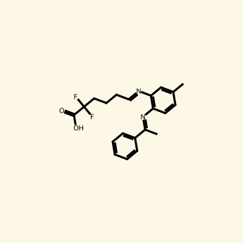 C/C(=N\c1ccc(C)cc1/N=C/CCCC(F)(F)C(=O)O)c1ccccc1